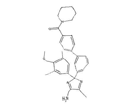 COc1c(C)cc(C2(c3cccc(-c4ccc(C(=O)N5CCCCC5)cc4)c3)N=C(C)C(N)=N2)cc1C